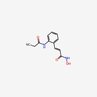 N#CCC(=O)Nc1ccccc1C=CC(=O)NO